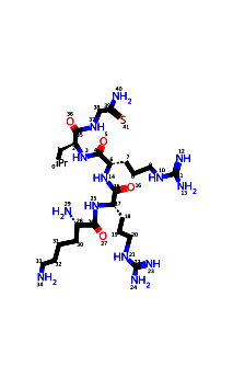 CC(C)C[C@H](NC(=O)[C@H](CCCNC(=N)N)NC(=O)[C@H](CCCNC(=N)N)NC(=O)[C@@H](N)CCCCN)C(=O)NCC(N)=S